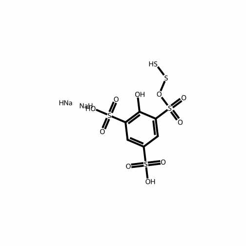 O=S(=O)(O)c1cc(S(=O)(=O)O)c(O)c(S(=O)(=O)OSS)c1.[NaH].[NaH]